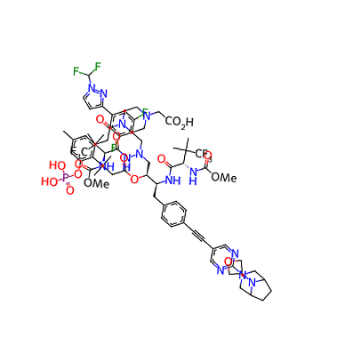 COC(=O)N[C@H](C(=O)N[C@@H](Cc1ccc(C#Cc2cnc(N3CC4CCC(C3)N4C3COC3)nc2)cc1)[C@H](CN(Cc1c(F)cc(-c2ccn(C(F)F)n2)cc1F)NC(=O)[C@@H](NC(=O)OC)C(C)(C)C(F)(F)F)OC(=O)CC(C)(C)c1c(CC(=O)N2CCN(CC(=O)O)CC2)cc(C)cc1OP(=O)(O)O)C(C)(C)C(F)(F)F